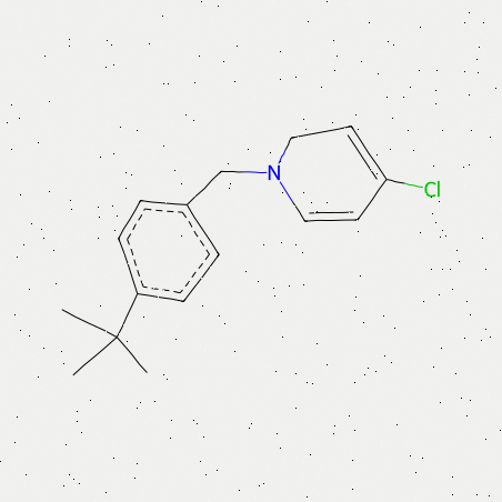 CC(C)(C)c1ccc(CN2C=CC(Cl)=CC2)cc1